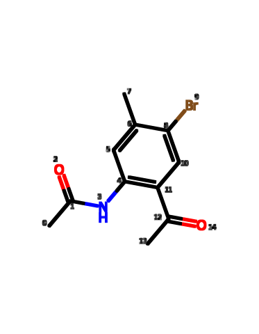 CC(=O)Nc1cc(C)c(Br)cc1C(C)=O